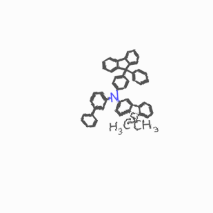 C[Si]1(C)c2ccccc2-c2cc(N(c3ccc(C4(c5ccccc5)c5ccccc5-c5ccccc54)cc3)c3cccc(-c4ccccc4)c3)ccc21